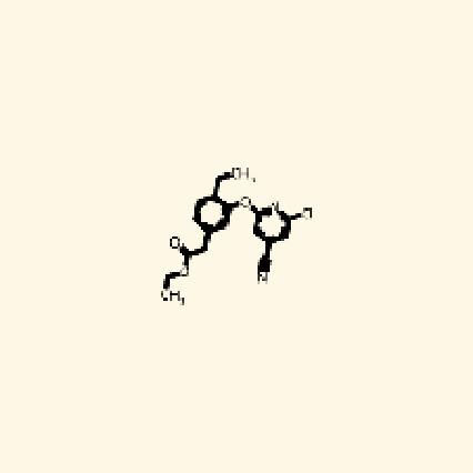 CCOC(=O)Cc1ccc(CC)c(Oc2cc(C#N)cc(Cl)n2)c1